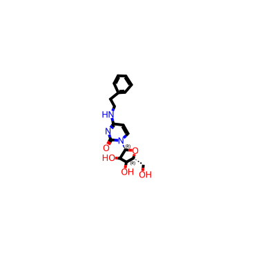 O=c1nc(NCCc2ccccc2)ccn1[C@@H]1O[C@H](CO)C(O)C1O